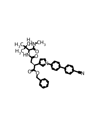 CNC(=O)C(NC(=O)C[C@H](C(=O)OCc1ccccc1)c1ccn(-c2ccc(-c3ccc(C#N)cc3)cc2)c1)C(C)(C)C